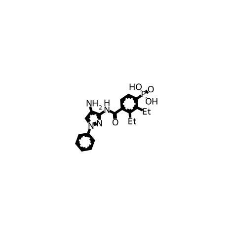 CCc1c(C(=O)Nc2nn(-c3ccccc3)cc2N)ccc(P(=O)(O)O)c1CC